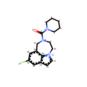 O=C(N1CCCCC1)N1CCn2ccc3cc(F)cc(c32)C1